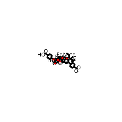 COC(=O)c1ccc(-c2ccc(C(C)C(O)(c3ccnc(-c4ccc(C(=O)O)cc4)c3)C(F)(F)F)c(Cl)c2)c(C(C)C(O)(c2ccnc(-c3ccc(C(=O)O)cc3)c2)C(F)(F)F)c1